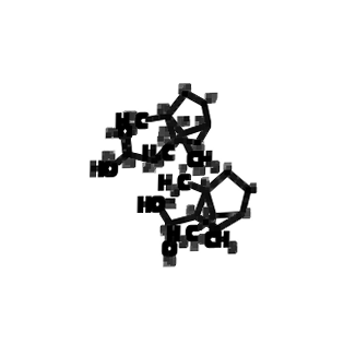 CC1(C)C2CCC1(C)C(C(=O)O)C2.CC1(C)C2CCC1(C)C(CC(=O)O)C2